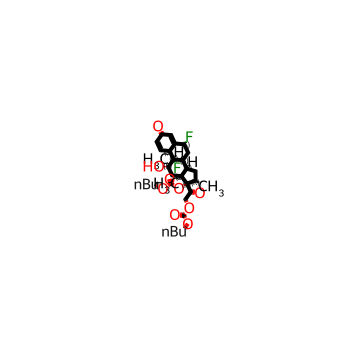 CCCCOC(=O)OCC(=O)[C@@]1(OC(=O)OCCCC)[C@H](C)C[C@H]2[C@@H]3C[C@H](F)C4=CC(=O)C=C[C@]4(C)[C@@]3(F)[C@@H](O)C[C@@]21C